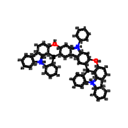 c1ccc(-n2c3cc4c(cc3c3cc5c(cc32)Oc2ccc3c6ccccc6n6c3c2B5c2ccccc2-6)B2c3ccccc3-n3c5ccccc5c5ccc(c2c53)O4)cc1